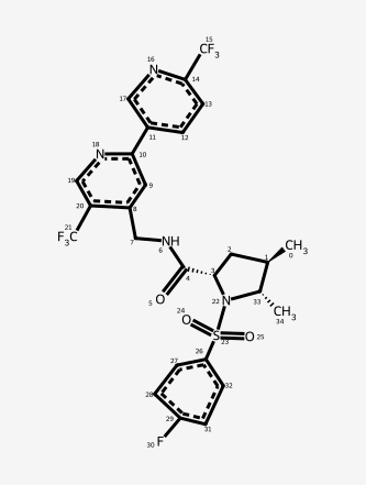 C[C@@H]1C[C@@H](C(=O)NCc2cc(-c3ccc(C(F)(F)F)nc3)ncc2C(F)(F)F)N(S(=O)(=O)c2ccc(F)cc2)[C@H]1C